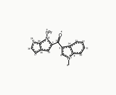 CCCn1c(C(=O)c2cn(C)c3ccccc23)cc2ccsc21